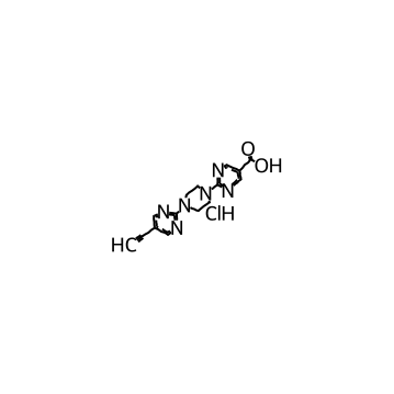 C#Cc1cnc(N2CCN(c3ncc(C(=O)O)cn3)CC2)nc1.Cl